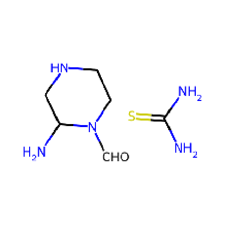 NC(N)=S.NC1CNCCN1C=O